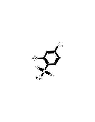 Cc1ccc(S(C)(=O)=O)c(C)c1